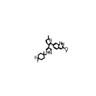 COc1cc2ccc(-c3nc(C)ccc3-c3cnn(CC4(C)CCC(F)(F)CC4)c3)cc2nn1